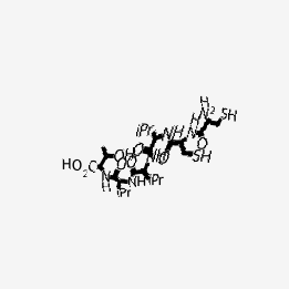 CC(C)C(NC(=O)C(CS)NC(=O)C(N)CS)C(=O)NC(C(=O)NC(C(=O)NC(C(=O)O)C(C)O)C(C)C)C(C)C